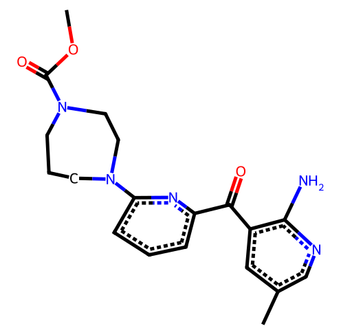 COC(=O)N1CCCN(c2cccc(C(=O)c3cc(C)cnc3N)n2)CC1